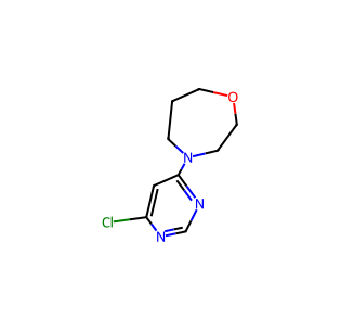 Clc1cc(N2CCCOCC2)ncn1